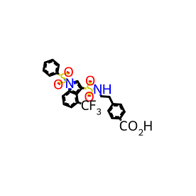 O=C(O)c1ccc(CCNS(=O)(=O)c2cn(S(=O)(=O)c3ccccc3)c3cccc(C(F)(F)F)c23)cc1